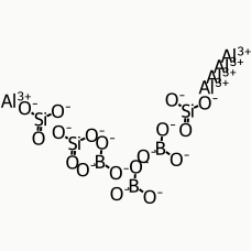 O=[Si]([O-])[O-].O=[Si]([O-])[O-].O=[Si]([O-])[O-].[Al+3].[Al+3].[Al+3].[Al+3].[Al+3].[O-]B([O-])[O-].[O-]B([O-])[O-].[O-]B([O-])[O-]